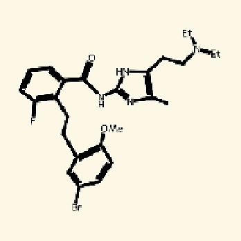 CCN(CC)CCc1[nH]c(NC(=O)c2cccc(F)c2CCc2cc(Br)ccc2OC)nc1C